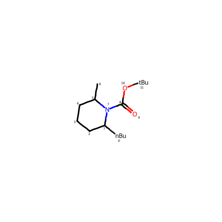 CCCCC1CCCC(C)N1C(=O)OC(C)(C)C